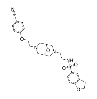 N#Cc1ccc(OCCN2CC3CN(CCNS(=O)(=O)c4ccc5c(c4)CCO5)CC(C2)O3)cc1